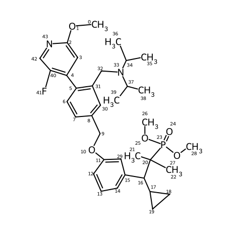 COc1cc(-c2ccc(COc3cccc(C(C4CC4)C(C)(C)P(=O)(OC)OC)c3)cc2CN(C(C)C)C(C)C)c(F)cn1